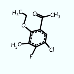 CCOc1c(C(C)=O)cc(Cl)c(F)c1C